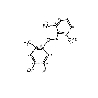 CCc1cc(C)c(OCc2c(OC(C)=O)cccc2C(F)(F)F)cc1I